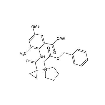 COC(=O)c1cc(OC)cc(C)c1NC(=O)C1([N+]2(CC(=O)OCc3ccccc3)CCCC2)CC1